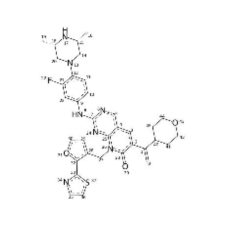 C=C(c1cc2cnc(Nc3ccc(N4C[C@@H](C)N[C@@H](C)C4)c(F)c3)nc2n(Cc2ccoc2-c2nccs2)c1=O)C1CCOCC1